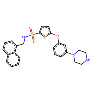 O=S(=O)(NCc1cccc2ccccc12)c1ccc(Oc2cccc(N3CCNCC3)c2)s1